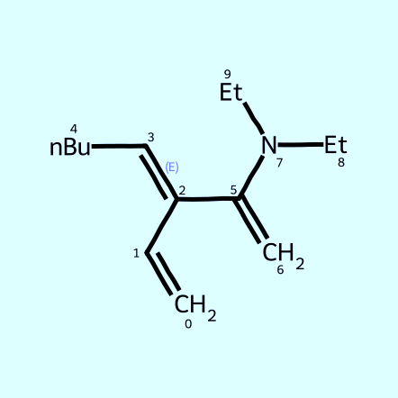 C=C/C(=C\CCCC)C(=C)N(CC)CC